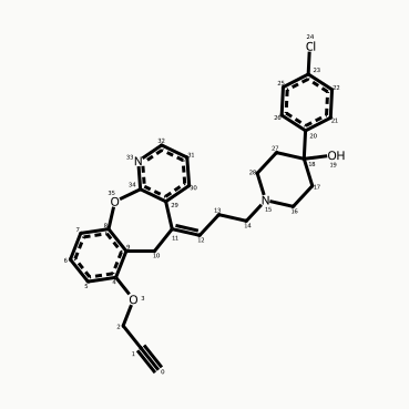 C#CCOc1cccc2c1C/C(=C/CCN1CCC(O)(c3ccc(Cl)cc3)CC1)c1cccnc1O2